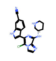 N#Cc1ccc2c(-c3nc(N[C@H]4CCCNC4)c4nccn4c3Cl)c[nH]c2c1